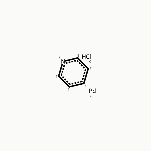 Cl.[Pd].c1ccncc1